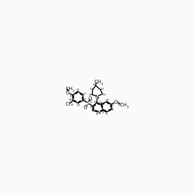 COc1ccc2ncc(S(=O)(=O)c3ccc(OC)c(Cl)c3)c(N3CCC(C)CC3)c2c1